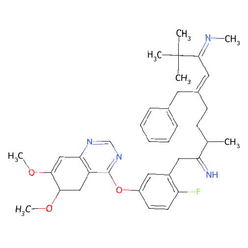 C/N=C(\C=C(\CCC(C)C(=N)Cc1cc(Oc2ncnc3c2CC(OC)C(OC)=C3)ccc1F)Cc1ccccc1)C(C)(C)C